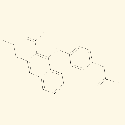 CCCc1cc2ccccc2c(Oc2ccc(CC(=O)O)cc2)c1C(N)=O